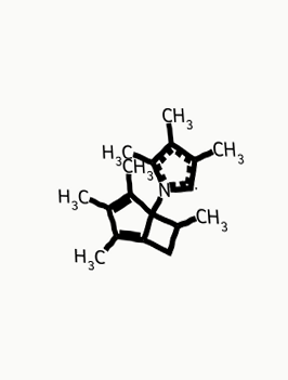 CC1=C(C)C2(n3[c]c(C)c(C)c3C)C(=C1C)CC2C